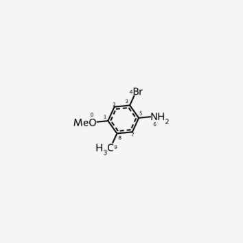 COc1cc(Br)c(N)cc1C